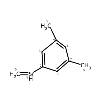 C=[SiH]c1cc(C)cc(C)c1